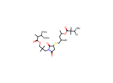 CCCCCCC(CCCCCC)C(C)C(=O)OCC(C)(C)CN1C(=O)CC(SCC(CC(C)OC(=O)C(C)(C)C(CC)CCCC)C(C)C)C1=O